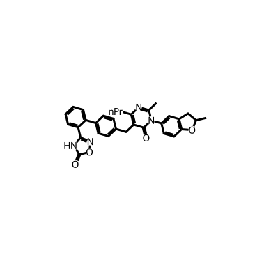 CCCc1nc(C)n(-c2ccc3c(c2)CC(C)O3)c(=O)c1Cc1ccc(-c2ccccc2-c2noc(=O)[nH]2)cc1